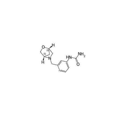 NC(=O)Nc1cc[c]c(CN2C[C@@H]3C[C@H]2CO3)c1